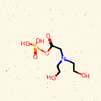 O=C(CN(CCO)CCO)OP(=O)(O)O